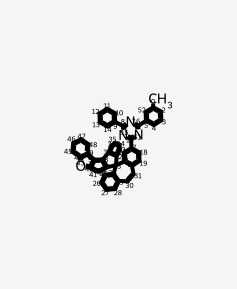 Cc1cccc(-c2nc(-c3ccccc3)nc(-c3ccc4c(c3)C3(c5ccccc5C=C4)c4ccccc4-c4c3ccc3oc5ccccc5c43)n2)c1